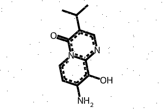 CC(C)c1cnc2c(O)c(N)ccn2c1=O